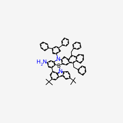 CC(C)(C)c1ccc2c(c1)c1cc(C(C)(C)C)cc3c1n2B1c2cc4c(Cc5ccccc5)c5ccccc5c(Cc5ccccc5)c4cc2N(c2cc(-c4ccccc4)cc(-c4ccccc4)c2)c2cc(N)cc-3c21